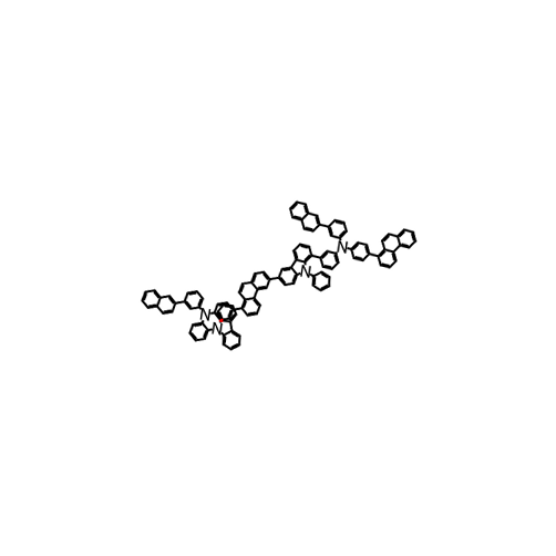 c1ccc(-n2c3ccc(-c4ccc5ccc6c(-c7ccc(N(c8cccc(-c9ccc%10ccccc%10c9)c8)c8ccccc8-n8c9ccccc9c9ccccc98)cc7)cccc6c5c4)cc3c3cccc(-c4cccc(N(c5ccc(-c6cccc7c6ccc6ccccc67)cc5)c5cccc(-c6ccc7ccccc7c6)c5)c4)c32)cc1